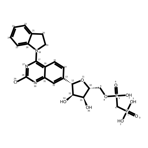 O=P(O)(O)CP(=O)(O)OC[C@H]1O[C@@H](c2ccc3c(N4CCc5ccccc54)nc(Cl)nc3c2)[C@H](O)[C@@H]1O